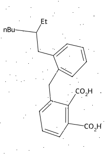 CCCCC(CC)Cc1ccccc1Cc1cccc(C(=O)O)c1C(=O)O